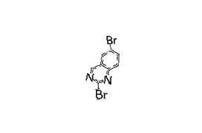 Brc1ccc2nc(Br)ncc2c1